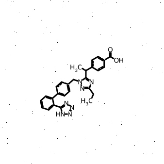 CCc1nc(C(C)c2ccc(C(=O)O)cc2)n(Cc2ccc(-c3ccccc3-c3nnn[nH]3)cc2)n1